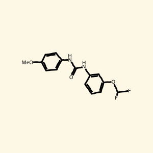 COc1ccc(NC(=O)Nc2cccc(OC(F)F)c2)cc1